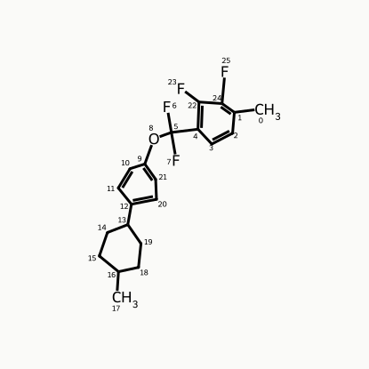 Cc1ccc(C(F)(F)Oc2ccc(C3CCC(C)CC3)cc2)c(F)c1F